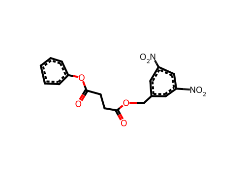 O=C(CCC(=O)Oc1ccccc1)OCc1cc([N+](=O)[O-])cc([N+](=O)[O-])c1